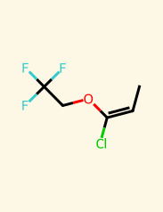 C/C=C(/Cl)OCC(F)(F)F